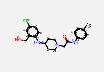 CC(=O)c1ccc(NC(=O)CN2CCC(Nc3ccc(Cl)cc3CO)CC2)cc1